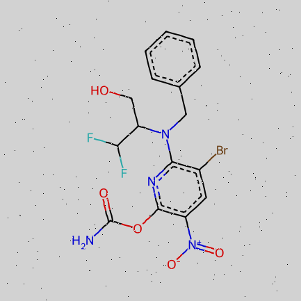 NC(=O)Oc1nc(N(Cc2ccccc2)C(CO)C(F)F)c(Br)cc1[N+](=O)[O-]